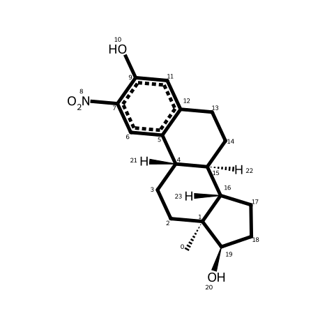 C[C@]12CC[C@@H]3c4cc([N+](=O)[O-])c(O)cc4CC[C@H]3[C@@H]1CC[C@H]2O